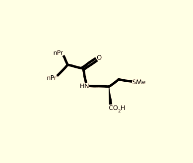 CCCC(CCC)C(=O)N[C@@H](CSC)C(=O)O